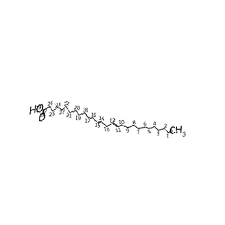 CCCCCCCCCCCC=CCC=CCCCCCCCCCCCC(=O)O